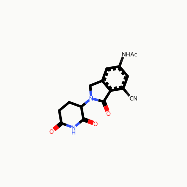 CC(=O)Nc1cc(C#N)c2c(c1)CN(C1CCC(=O)NC1=O)C2=O